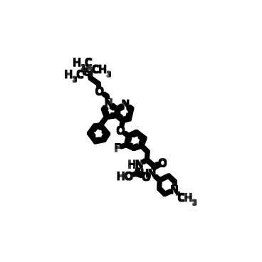 CN1CCC(NC(=O)C(Cc2ccc(Oc3ccnc4c3c(-c3ccccc3)cn4COCC[Si](C)(C)C)c(F)c2)NC(=O)O)CC1